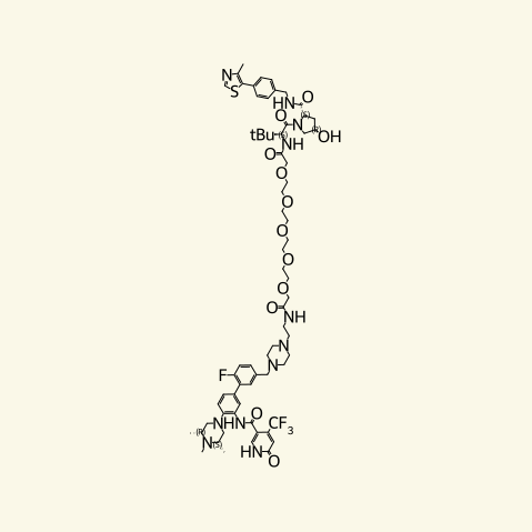 Cc1ncsc1-c1ccc(CNC(=O)[C@@H]2C[C@@H](O)CN2C(=O)[C@@H](NC(=O)COCCOCCOCCOCCOCC(=O)NCCN2CCN(Cc3ccc(F)c(-c4ccc(N5C[C@@H](C)N(C)[C@@H](C)C5)c(NC(=O)c5c[nH]c(=O)cc5C(F)(F)F)c4)c3)CC2)C(C)(C)C)cc1